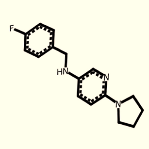 Fc1ccc(CNc2ccc(N3CCCC3)nc2)cc1